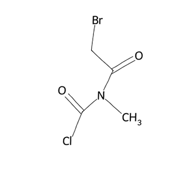 CN(C(=O)Cl)C(=O)CBr